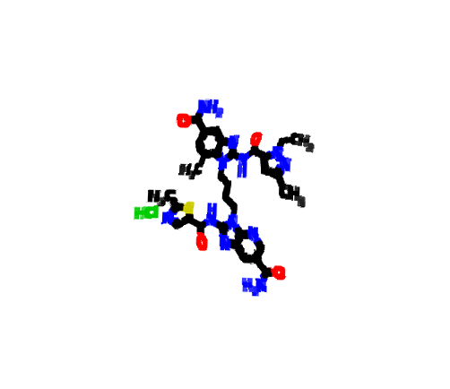 CCn1nc(C)cc1C(=O)Nc1nc2cc(C(N)=O)cc(C)c2n1C/C=C/Cn1c(NC(=O)c2cnc(C)s2)nc2cc(C(N)=O)cnc21.Cl